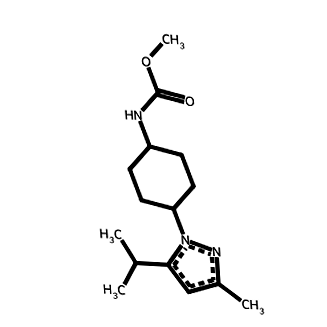 COC(=O)NC1CCC(n2nc(C)cc2C(C)C)CC1